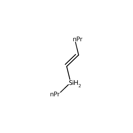 CCC/C=C/[SiH2]CCC